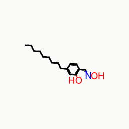 CCCCCCCCCc1ccc(C=NO)c(O)c1